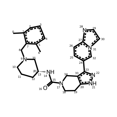 Cc1cccc(C)c1CN1CCC[C@@H](NC(=O)N2CCc3[nH]nc(-c4ccc5nccn5c4)c3C2)C1